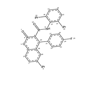 CC(C)c1ccc2oc(=O)c(C(=O)Nc3c(C(C)C)cccc3C(C)C)c(-c3ccc(F)cc3)c2c1